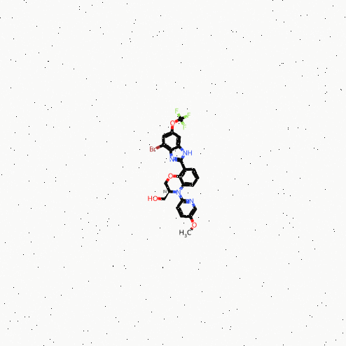 COc1ccc(N2c3cccc(-c4nc5c(Br)cc(OC(F)(F)F)cc5[nH]4)c3OC[C@@H]2CO)nc1